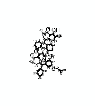 CC(C)Oc1cccc(C(c2cccc(Oc3c4n(ncc3=O)C(C(c3ccccc3)c3cccc(OCC5CC5)c3)CN(C)C4=O)c2)C2CN(C)C(=O)c3c(O)c(=O)cnn32)c1